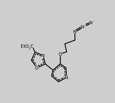 CCOC(=O)c1coc(-c2ccncc2OCCCN=[N+]=[N-])n1